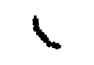 Fc1cc2sc(-c3ccc(-c4nc5cc6cc7oc(-c8ccc(-c9cc%10sc(F)cc%10s9)s8)nc7cc6cc5o4)s3)cc2s1